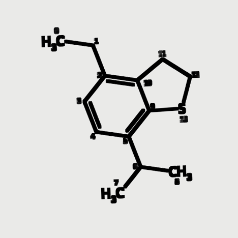 CCc1ccc(C(C)C)c2c1CCS2